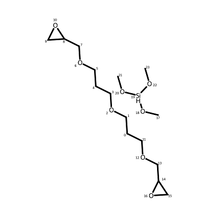 C(COCCCOCC1CO1)COCC1CO1.CO[SiH](OC)OC